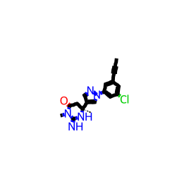 CC#Cc1cc(Cl)cc(-n2cc([C@]3(C)CC(=O)N(C)C(=N)N3)cn2)c1